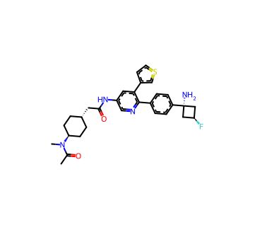 CC(=O)N(C)[C@H]1CC[C@H](CC(=O)Nc2cnc(-c3ccc([C@]4(N)C[C@H](F)C4)cc3)c(-c3ccsc3)c2)CC1